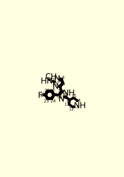 CNc1nccc(-c2[nH]c(C3CCNCC3)nc2-c2ccc(F)cc2)n1